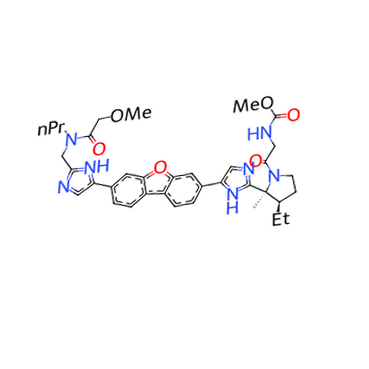 CCCN(Cc1ncc(-c2ccc3c(c2)oc2cc(-c4cnc([C@]5(C)[C@H](CC)CCN5C(=O)CNC(=O)OC)[nH]4)ccc23)[nH]1)C(=O)COC